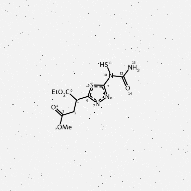 CCOC(=O)C(CC(=O)OC)c1nnc(N(S)C(N)=O)s1